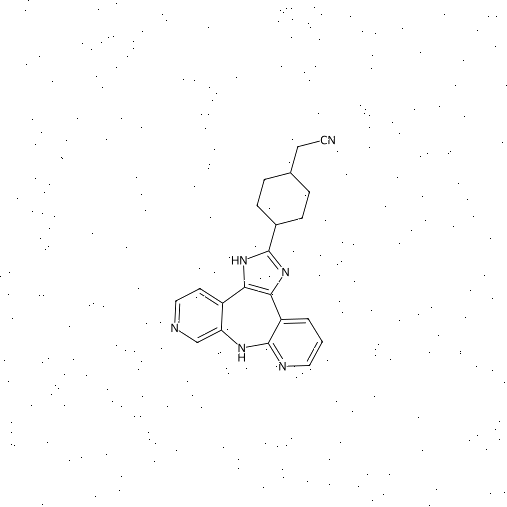 N#CCC1CCC(c2nc3c([nH]2)-c2ccncc2Nc2ncccc2-3)CC1